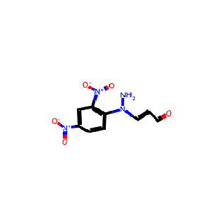 NN(C=CC=O)c1ccc([N+](=O)[O-])cc1[N+](=O)[O-]